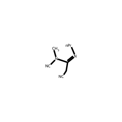 CCCN=C(CC#N)N(C)C#N